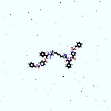 O=C(OCC(C(=O)Nc1nnc(CCCCc2nnc(NC(=O)C(COC(=O)C3CCN(C(=O)OCc4ccccc4)CC3)c3ccccc3)s2)s1)c1ccccc1)C1CCN(C(=O)OCc2ccccc2)CC1